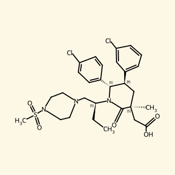 CC[C@@H](CN1CCN(S(C)(=O)=O)CC1)N1C(=O)[C@](C)(CC(=O)O)C[C@H](c2cccc(Cl)c2)[C@H]1c1ccc(Cl)cc1